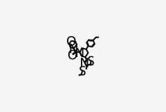 CCSCC1CSC(C2CC(c3ccc(CC)cc3)CN(C(=O)N3CCOCC3)C2)=N1